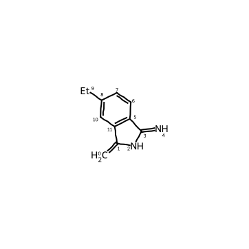 C=C1NC(=N)c2ccc(CC)cc21